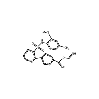 COc1nc(C)cnc1NS(=O)(=O)c1cccnc1-c1ccc(C(=N)OC=N)cc1